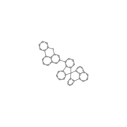 c1ccc2c(c1)Sc1cc(-c3cccc4c3-c3ccccc3C43c4ccccc4-c4cccc5cccc3c45)cc3cccc-2c13